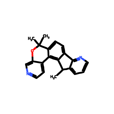 CC1c2cccnc2-c2ccc3c(c21)-c1ccncc1OC3(C)C